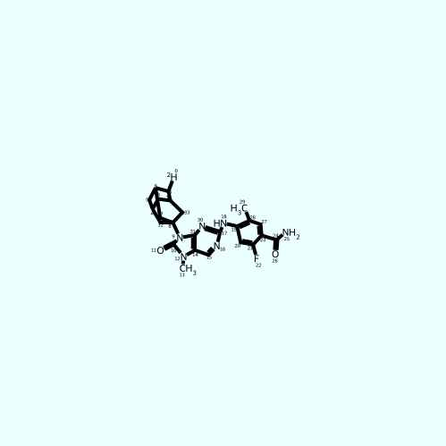 [2H]C1C2CC3CC1CC(n1c(=O)n(C)c4cnc(Nc5cc(F)c(C(N)=O)cc5C)nc41)(C3)C2